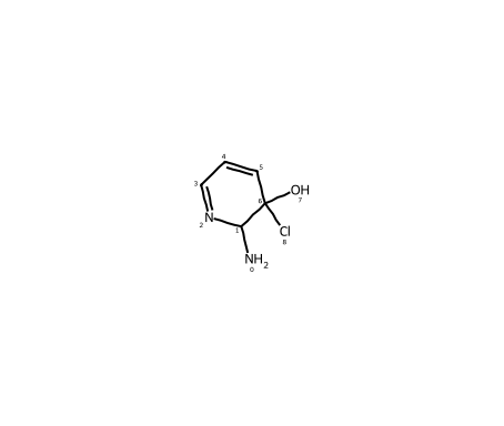 NC1N=CC=CC1(O)Cl